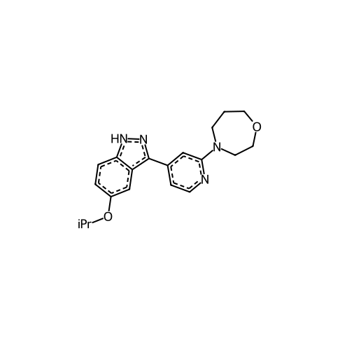 CC(C)Oc1ccc2[nH]nc(-c3ccnc(N4CCCOCC4)c3)c2c1